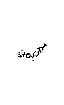 Cc1cc(C2CC2)cnc1N1CCN(C(=O)c2ccc(C(C)(C)NS(C)(=O)=O)cc2)CC1